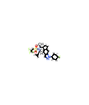 CC(C1CCC2=Cc3c(cnn3-c3ccc(F)cc3)C[C@@]21C)N(CC1CC1)S(=O)(=O)CC(F)(F)F